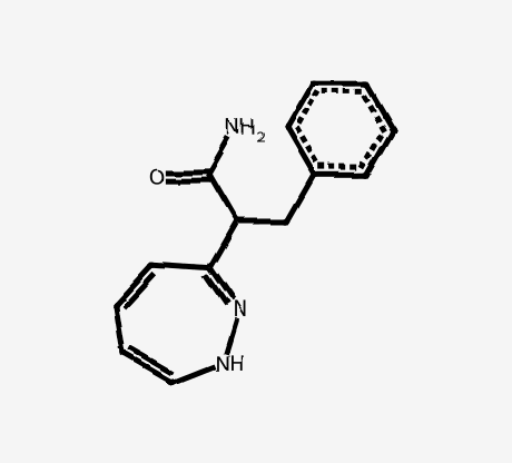 NC(=O)C(Cc1ccccc1)C1=NNC=CC=C1